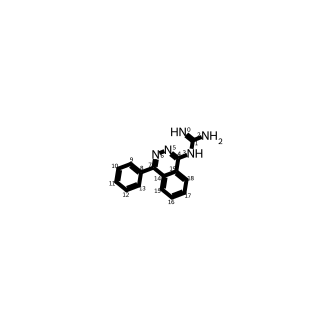 N=C(N)Nc1nnc(-c2ccccc2)c2ccccc12